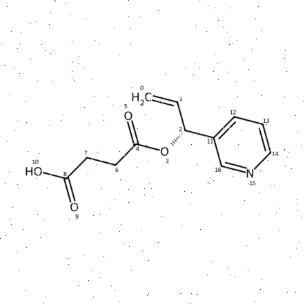 C=C[C@@H](OC(=O)CCC(=O)O)c1cccnc1